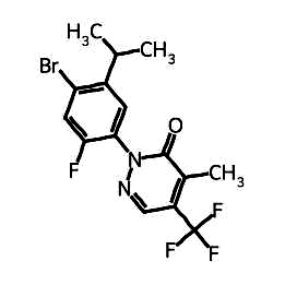 Cc1c(C(F)(F)F)cnn(-c2cc(C(C)C)c(Br)cc2F)c1=O